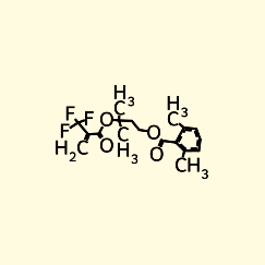 C=C(C(=O)OC(C)(C)CCOC(=O)c1c(C)cccc1C)C(F)(F)F